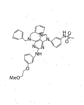 COCCOc1cccc(Nc2nc(N(Cc3ccccc3)Cc3ccccc3)c3ncn(-c4cccc(NS(C)(=O)=O)c4)c3n2)c1